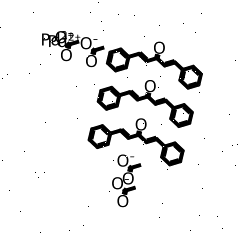 CC(=O)[O-].CC(=O)[O-].CC(=O)[O-].CC(=O)[O-].O=C(C=Cc1ccccc1)C=Cc1ccccc1.O=C(C=Cc1ccccc1)C=Cc1ccccc1.O=C(C=Cc1ccccc1)C=Cc1ccccc1.[Pd+2].[Pd+2]